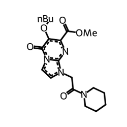 CCCCOc1c(C(=O)OC)nc2n(CC(=O)N3CCCCC3)ccn2c1=O